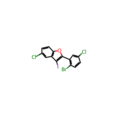 Clc1ccc(Br)c(-c2oc3ccc(Cl)cc3c2I)c1